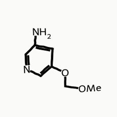 COCOc1cncc(N)c1